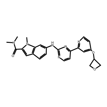 CN(C)C(=O)c1cc2ccc(Nc3nccc(-c4cc(OC5COC5)ccn4)n3)cc2n1C